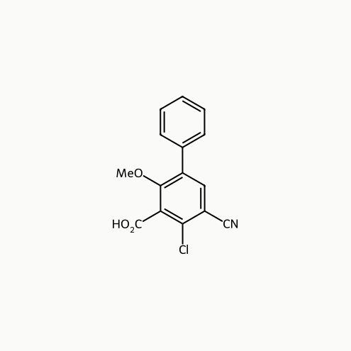 COc1c(-c2ccccc2)cc(C#N)c(Cl)c1C(=O)O